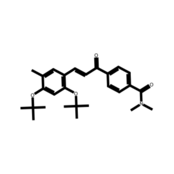 Cc1cc(C=CC(=O)c2ccc(C(=O)N(C)C)cc2)c(OC(C)(C)C)cc1OC(C)(C)C